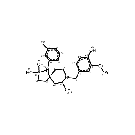 CC(C)Oc1cc(CN2CC[C@]3(CCS(O)(O)N3c3cccc(F)c3)C[C@@H]2C)ccc1O